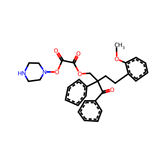 COc1ccccc1CCC(COC(=O)C(=O)ON1CCNCC1)(C(=O)c1ccccc1)c1ccccc1